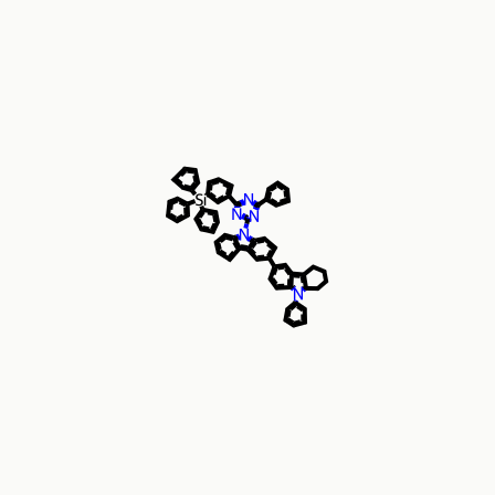 c1ccc(-c2nc(-c3cccc([Si](c4ccccc4)(c4ccccc4)c4ccccc4)c3)nc(-n3c4ccccc4c4cc(-c5ccc6c(c5)c5c(n6-c6ccccc6)CCCC5)ccc43)n2)cc1